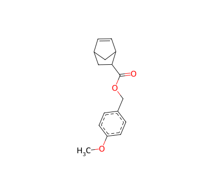 COc1ccc(COC(=O)C2CC3C=CC2C3)cc1